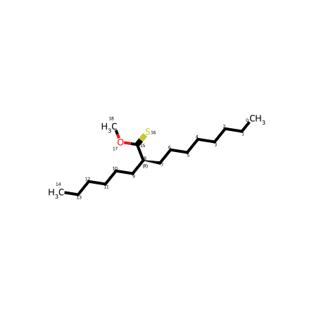 CCCCCCCC[C@@H](CCCCCC)C(=S)OC